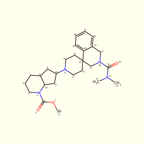 CC(C)OC(=O)N1CCCC2CC(N3CCC4(CC3)CN(C(=O)N(C)C)Cc3ccccc34)CC21